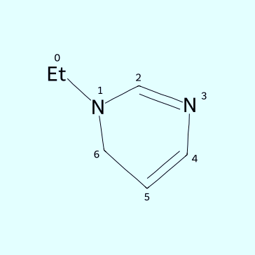 CCN1C=NC=CC1